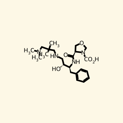 CN(C)CC(C)(C)CNC[C@@H](O)[C@H](Cc1ccccc1)NC(=O)[C@H]1COCN1C(=O)O